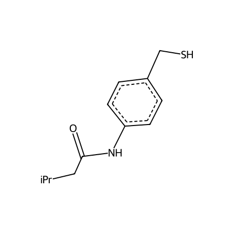 CC(C)CC(=O)Nc1ccc(CS)cc1